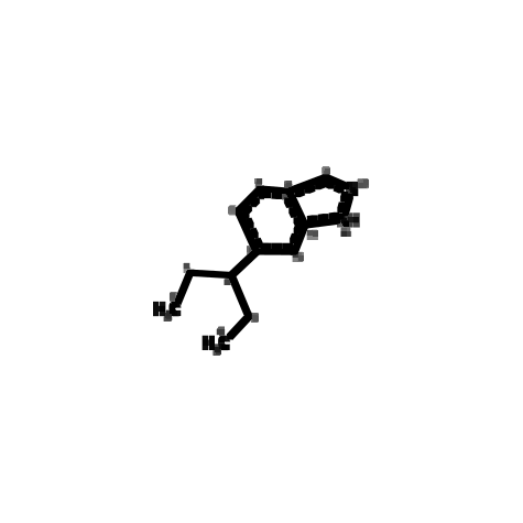 CCC(CC)c1ccc2cn[nH]c2c1